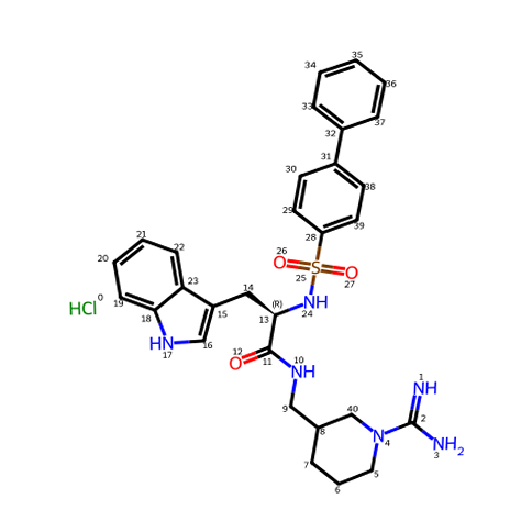 Cl.N=C(N)N1CCCC(CNC(=O)[C@@H](Cc2c[nH]c3ccccc23)NS(=O)(=O)c2ccc(-c3ccccc3)cc2)C1